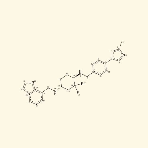 Cn1cc(-c2ccc(CN[C@@H]3CC[C@@H](NCc4cccn5ccnc45)CC3(F)F)cn2)cn1